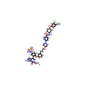 CCS(=O)(=O)Nc1ccc(Oc2cccc(CCCOC3CCN(c4ccc(C(=O)N[C@H]5CC[C@H](Oc6ccc(C#N)c(Cl)c6)CC5)nn4)CC3)c2F)c(-c2cn(C)c(=O)c3[nH]ccc23)c1